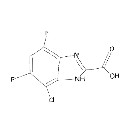 O=C(O)c1nc2c(F)cc(F)c(Cl)c2[nH]1